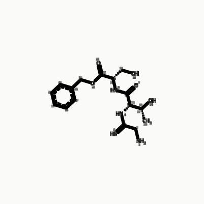 B=C(CN)N[C@H](C(=O)N[C@@H](CO)C(=O)OCc1ccccc1)[C@@H](C)O